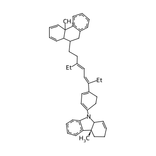 CC/C(=C\C=C(/CC)C1=CC=C(N2c3ccccc3[C@@]3(C)CCC=CC23)CC1)CCC1Cc2ccccc2C2(C)C=CC=CC12